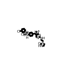 Cn1nc(-c2ccc(NS(=O)(=O)c3cccc(Cl)c3Cl)cc2)c2cnc(NCCN3CCNC3=O)nc21